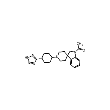 CC(=O)N1CC2(CCN(C3CCN(c4nn[nH]n4)CC3)CC2)c2ccccc21